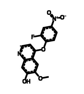 COc1cc2c(Oc3ccc([N+](=O)[O-])cc3F)c[c]nc2cc1O